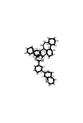 c1ccc(-c2nc(-c3cccc(-c4ccc5cccnc5c4)c3)nc(-c3cccc4c3C(c3ccccc3)CCc3ccccc3-4)n2)cc1